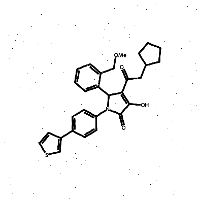 COCc1ccccc1C1C(C(=O)CC2CCCC2)=C(O)C(=O)N1c1ccc(-c2ccsc2)cc1